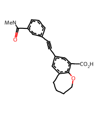 CNC(=O)c1cccc(C#Cc2cc3c(c(C(=O)O)c2)OCCCC3)c1